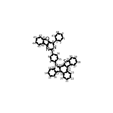 c1ccc(-c2nc(-c3ccc(-n4c5ccccc5c5c6ccccc6c6c7ccccc7sc6c54)cc3)nc3c2oc2ccccc23)cc1